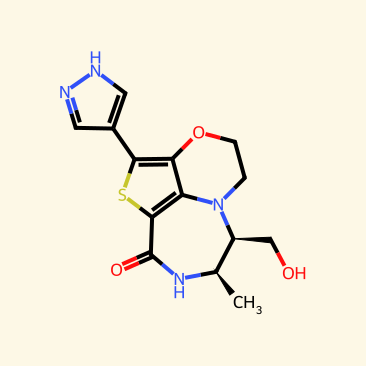 C[C@H]1NC(=O)c2sc(-c3cn[nH]c3)c3c2N(CCO3)[C@H]1CO